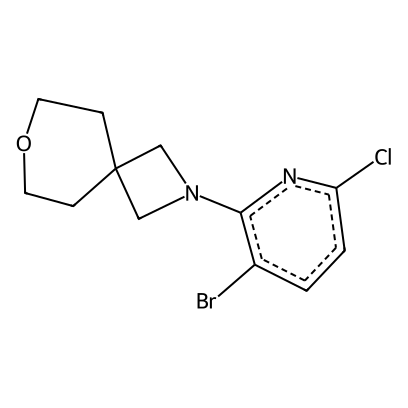 Clc1ccc(Br)c(N2CC3(CCOCC3)C2)n1